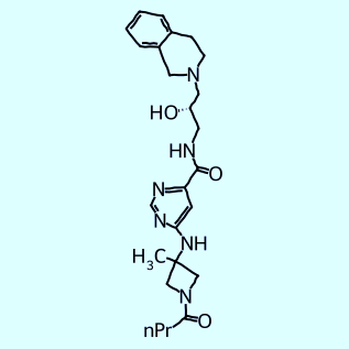 CCCC(=O)N1CC(C)(Nc2cc(C(=O)NC[C@H](O)CN3CCc4ccccc4C3)ncn2)C1